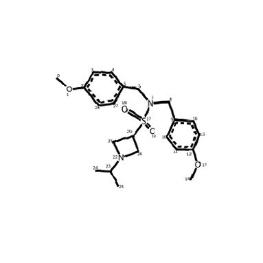 COc1ccc(CN(Cc2ccc(OC)cc2)S(=O)(=O)C2CN(C(C)C)C2)cc1